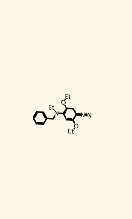 CCOC1=CC(N(CC)Cc2ccccc2)=C(OCC)CC1=[N+]=[N-]